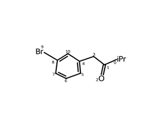 CC(C)C(=O)Cc1cccc(Br)c1